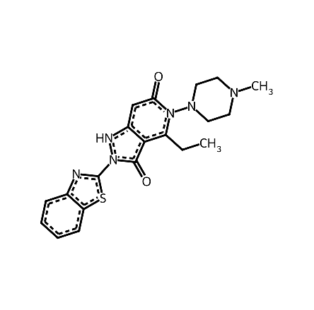 CCc1c2c(=O)n(-c3nc4ccccc4s3)[nH]c2cc(=O)n1N1CCN(C)CC1